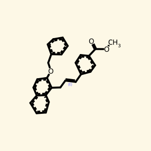 COC(=O)c1ccc(/C=C/Cc2c(OCc3ccccc3)ccc3ccccc23)cc1